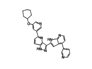 c1cncc(-c2ccnc3[nH]c(-c4n[nH]c5ccc(-c6cncc(OC7CCCCC7)c6)nc45)cc23)c1